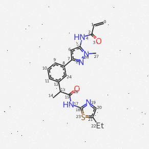 C=CC(=O)Nc1cc(-c2cccc(C(C)C(=O)Nc3ncc(CC)s3)c2)nn1C